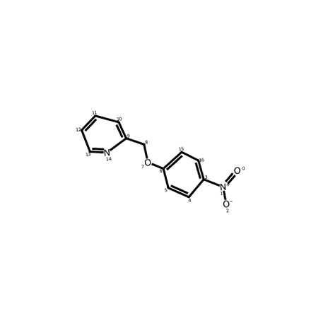 O=[N+]([O-])c1ccc(OCc2ccccn2)cc1